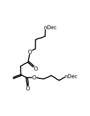 C=C(CC(=O)OCCCCCCCCCCCCC)C(=O)OCCCCCCCCCCCCC